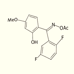 COc1ccc(C(=NOC(C)=O)c2cc(F)ccc2F)c(O)c1